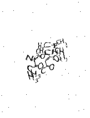 CC(=O)/C=C(/C)[O-].CC(=O)/C=C(/C)[O-].CP(C)C.[Ni+2]